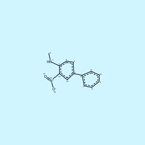 CNc1ccc(-c2ccccc2)cc1[N+](=O)[O-]